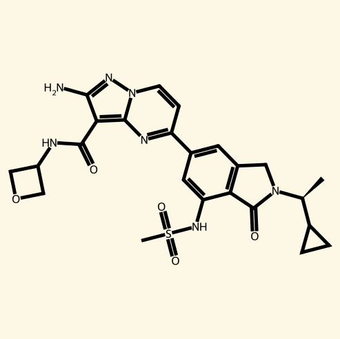 C[C@@H](C1CC1)N1Cc2cc(-c3ccn4nc(N)c(C(=O)NC5COC5)c4n3)cc(NS(C)(=O)=O)c2C1=O